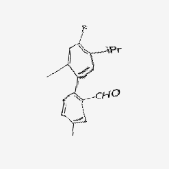 Cc1ccc(-c2cc(C(C)C)c(F)cc2C)c(C=O)c1